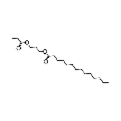 CCCCCCCCCCCCCC(=O)OCCCOC(=O)CC